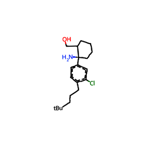 CC(C)(C)CCCc1ccc([C@@]2(N)CCCCC2CO)cc1Cl